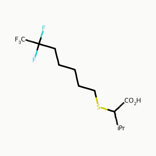 CC(C)C(SCCCCCC(F)(F)C(F)(F)F)C(=O)O